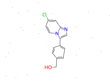 OCc1ccc(-c2cnc3cc(Cl)ccn23)cc1